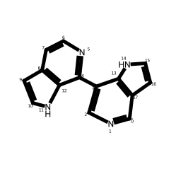 [c]1ncc(-c2nccc3cc[nH]c23)c2[nH]ccc12